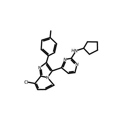 Cc1ccc(-c2nc3c(Cl)cccn3c2-c2ccnc(NC3CCCC3)n2)cc1